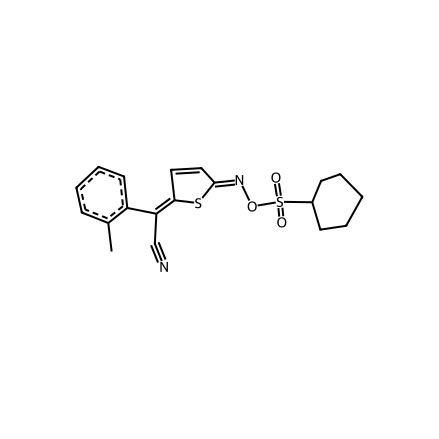 Cc1ccccc1/C(C#N)=C1\C=CC(=NOS(=O)(=O)C2CCCCC2)S1